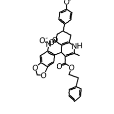 COc1ccc(C2CC(=O)C3=C(C2)NC(C)=C(C(=O)OCCc2ccccc2)C3c2cc3c(cc2[N+](=O)[O-])OCO3)cc1